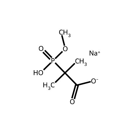 COP(=O)(O)C(C)(C)C(=O)[O-].[Na+]